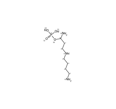 NCCCCNCCC(N)OP(=O)(O)O